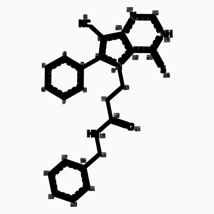 N#Cc1c(-c2ccccc2)n(CCC(=O)NCc2ccccc2)c2c(=S)[nH]cnc12